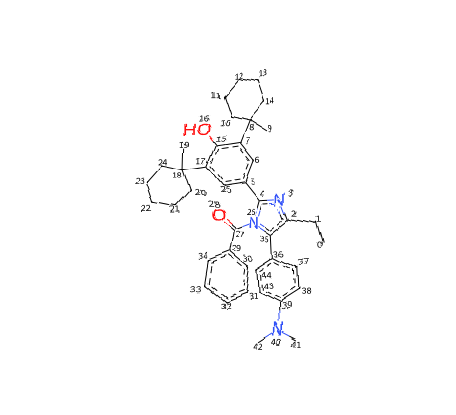 CCc1nc(-c2cc(C3(C)CCCCC3)c(O)c(C3(C)CCCCC3)c2)n(C(=O)c2ccccc2)c1-c1ccc(N(C)C)cc1